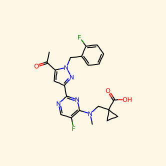 CC(=O)c1cc(-c2ncc(F)c(N(C)CC3(C(=O)O)CC3)n2)nn1Cc1ccccc1F